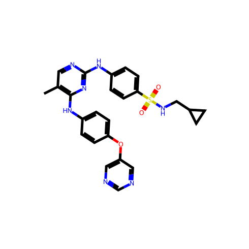 Cc1cnc(Nc2ccc(S(=O)(=O)NCC3CC3)cc2)nc1Nc1ccc(Oc2cncnc2)cc1